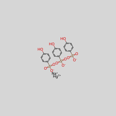 O=S(=O)([O-])c1ccc(O)cc1.O=S(=O)([O-])c1ccc(O)cc1.O=S(=O)([O-])c1ccc(O)cc1.[Hg+2].[Na+]